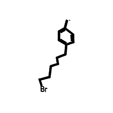 [CH2]c1ccc(CCCCCCBr)cc1